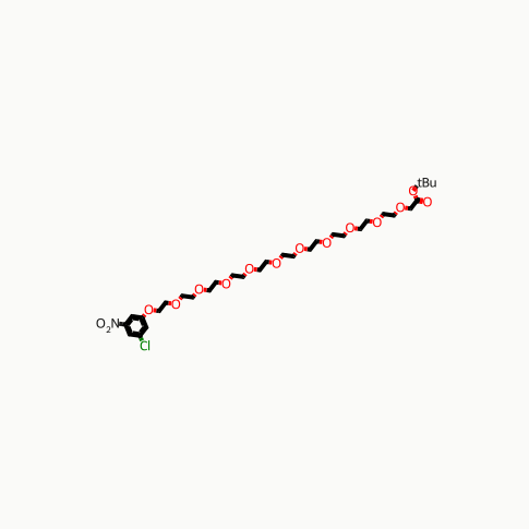 CC(C)(C)OC(=O)COCCOCCOCCOCCOCCOCCOCCOCCOCCOCCOc1cc(Cl)cc([N+](=O)[O-])c1